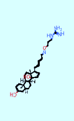 C[C@]12CC[C@H](O)C[C@H]1CC[C@@H]1[C@@H]2CC[C@]2(C)[C@@H](/C=C/C=C/C=N/OCCCNC(=N)N)CC[C@]12O